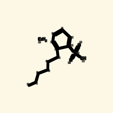 CCCCCCc1ccccc1S(=O)(=O)O.[CaH2]